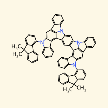 CC1(C)c2ccccc2-c2c(-n3c4ccccc4c4c5c6cc7c8c9c%10ccccc%10n(-c%10cccc%11c%10-c%10ccccc%10C%11(C)C)c9cc9c%10ccccc%10n(c7cc6n6c7ccccc7c(cc43)c56)c98)cccc21